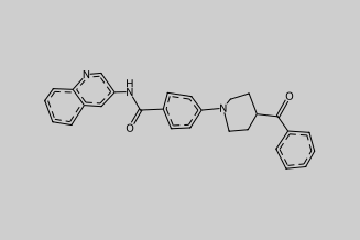 O=C(Nc1cnc2ccccc2c1)c1ccc(N2CCC(C(=O)c3ccccc3)CC2)cc1